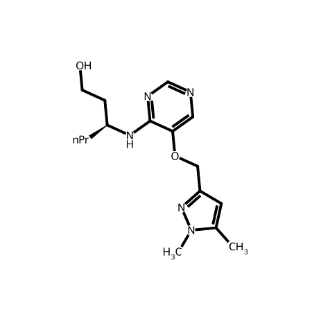 CCC[C@@H](CCO)Nc1ncncc1OCc1cc(C)n(C)n1